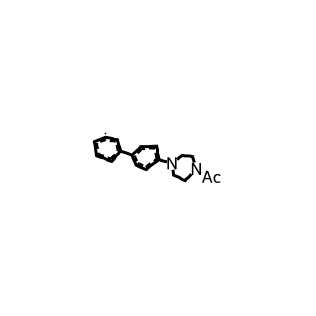 CC(=O)N1CCN(c2ccc(-c3c[c]ccc3)cc2)CC1